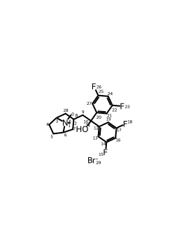 C[N+]1(C)C2CCC1CC(CC(O)(c1cc(F)cc(F)c1)c1cc(F)cc(F)c1)C2.[Br-]